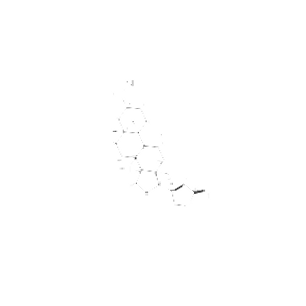 C[C@]12CC[C@H](ON)C[C@H]1CC[C@@H]1[C@@H]2CC[C@]2(C)[C@@H](C3=CC(=O)OC3)CC[C@@H]12